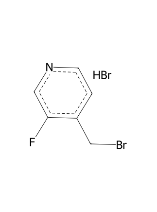 Br.Fc1cnccc1CBr